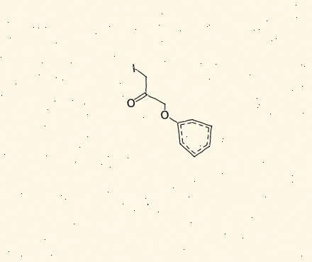 O=C(CI)COc1ccccc1